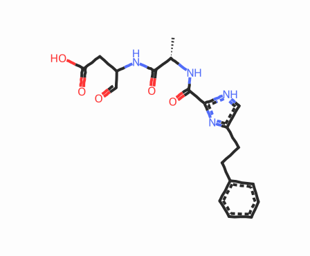 C[C@H](NC(=O)c1nc(CCc2ccccc2)c[nH]1)C(=O)NC(C=O)CC(=O)O